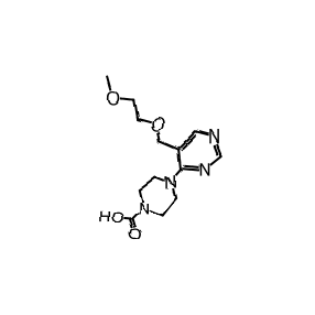 COCCOCc1cncnc1N1CCN(C(=O)O)CC1